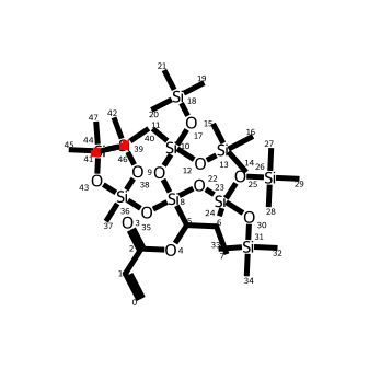 C=CC(=O)OC(CC)[Si](O[Si](C)(O[Si](C)(C)C)O[Si](C)(C)C)(O[Si](C)(O[Si](C)(C)C)O[Si](C)(C)C)O[Si](C)(O[Si](C)(C)C)O[Si](C)(C)C